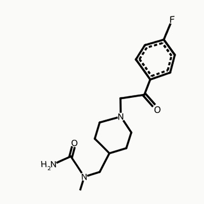 CN(CC1CCN(CC(=O)c2ccc(F)cc2)CC1)C(N)=O